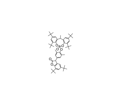 Cc1cc(C2C(=O)Oc3c2cc(C(C)(C)C)cc3C(C)(C)C)cc(C)c1OP1(=O)Oc2c(cc(C(C)(C)C)cc2C(C)(C)C)C(C)c2cc(C(C)(C)C)cc(C(C)(C)C)c2O1